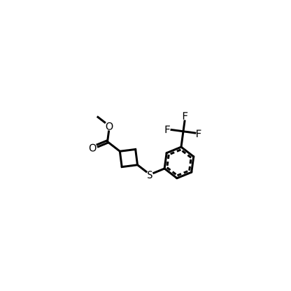 COC(=O)C1CC(Sc2cccc(C(F)(F)F)c2)C1